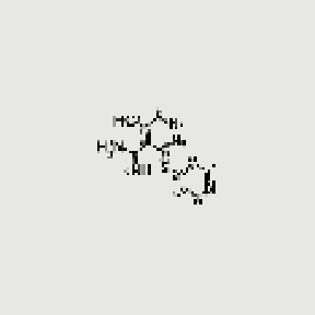 N=C(N)c1c(O)cnnc1Sc1ccncc1